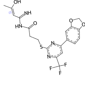 C/C(O)=C/C(=N)NC(=O)CCSc1nc(-c2ccc3c(c2)OCO3)cc(C(F)(F)F)n1